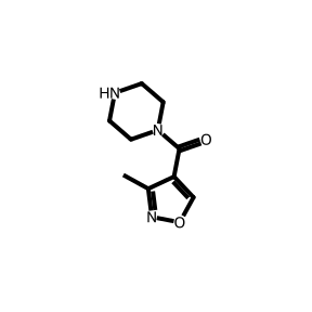 Cc1nocc1C(=O)N1CCNCC1